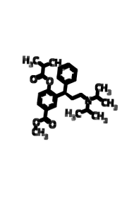 COC(=O)c1ccc(OC(=O)C(C)C)c([C@H](CCN(C(C)C)C(C)C)c2ccccc2)c1